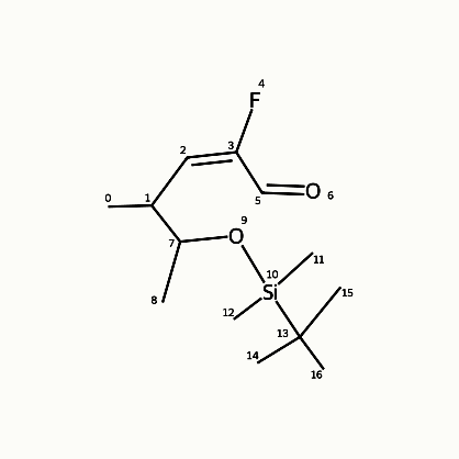 CC(/C=C(/F)C=O)C(C)O[Si](C)(C)C(C)(C)C